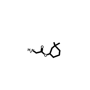 CC1(C)CCCC(OC(=O)CN)C1